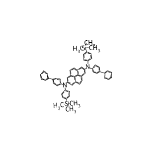 C[Si](C)(C)c1ccc(N(c2ccc(-c3ccccc3)cc2)c2cc3ccc4cc(N(c5ccc(-c6ccccc6)cc5)c5ccc([Si](C)(C)C)cc5)cc5ccc(c2)c3c45)cc1